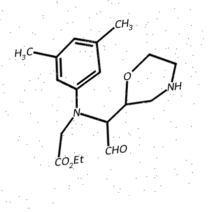 CCOC(=O)CN(c1cc(C)cc(C)c1)C(C=O)C1CNCCO1